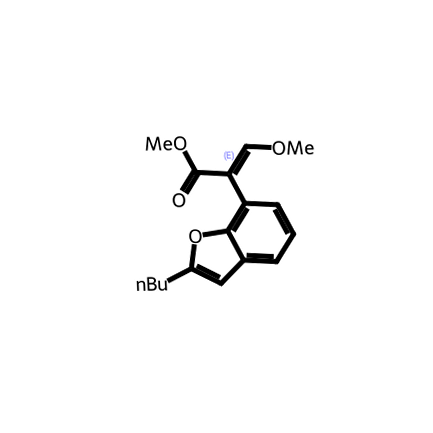 CCCCc1cc2cccc(/C(=C\OC)C(=O)OC)c2o1